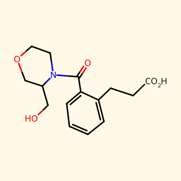 O=C(O)CCc1ccccc1C(=O)N1CCOCC1CO